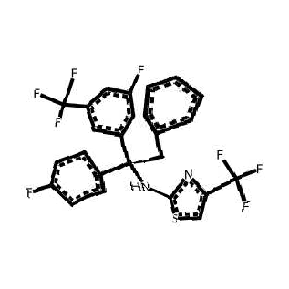 Fc1ccc([C@@](Cc2ccccc2)(Nc2nc(C(F)(F)F)cs2)c2cc(F)cc(C(F)(F)F)c2)cc1